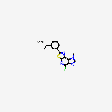 CC(=O)N[C@@H](C)c1cccc(-c2nc3c(nc(Cl)c4ncn(C)c43)s2)c1